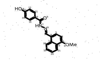 COc1ccc(/C=N/NC(=O)c2ccc(O)cc2)c2ccccc12